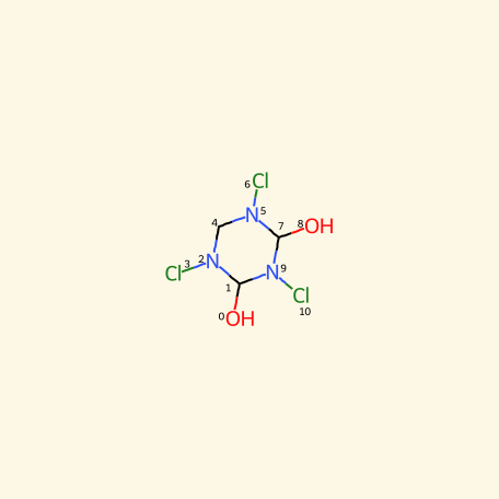 OC1N(Cl)CN(Cl)C(O)N1Cl